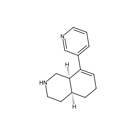 C1=C(c2cccnc2)[C@@H]2CNCC[C@@H]2CC1